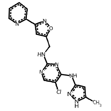 Cc1cc(Nc2nc(NCc3cc(-c4ccccn4)no3)ncc2Cl)n[nH]1